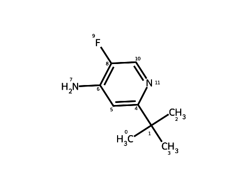 CC(C)(C)c1cc(N)c(F)cn1